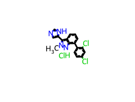 Cl.Cn1nc2c(-c3ccc(Cl)cc3Cl)cccc2c1-c1cnc[nH]1